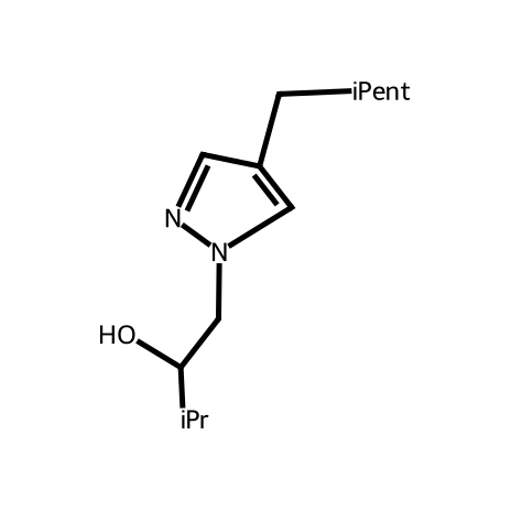 CCCC(C)Cc1cnn(CC(O)C(C)C)c1